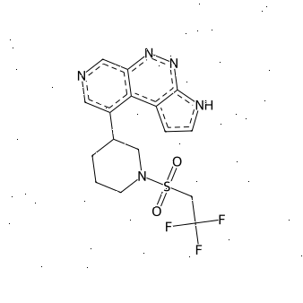 O=S(=O)(CC(F)(F)F)N1CCCC(c2cncc3nnc4[nH]ccc4c23)C1